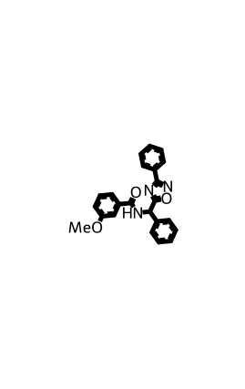 COc1cccc(C(=O)NC(c2ccccc2)c2nc(-c3ccccc3)no2)c1